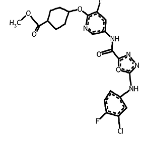 COC(=O)C1CCC(Oc2ncc(NC(=O)c3nnc(Nc4ccc(F)c(Cl)c4)o3)cc2F)CC1